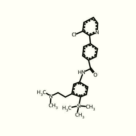 CN(C)CCc1cc(NC(=O)c2ccc(-c3ncccc3Cl)cc2)ccc1[Si](C)(C)C